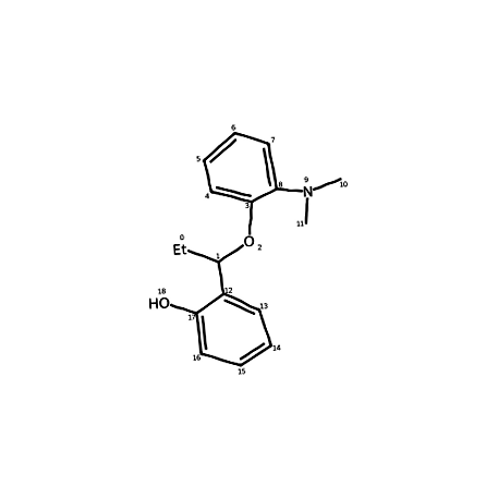 CCC(Oc1ccccc1N(C)C)c1ccccc1O